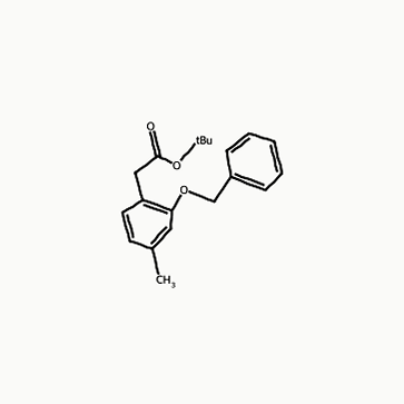 Cc1ccc(CC(=O)OC(C)(C)C)c(OCc2ccccc2)c1